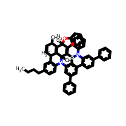 CCCCc1ccc2c(c1)C1(C)C=CC(C)C3=C1C1(C)C(=C4c5ccccc5OC43C)B3c4c(cc(-c5ccccc5)cc4N21)-c1ccc(-c2ccccc2)cc1N3c1ccccc1